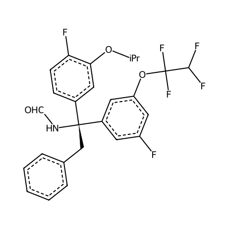 CC(C)Oc1cc([C@@](Cc2ccccc2)(NC=O)c2cc(F)cc(OC(F)(F)C(F)F)c2)ccc1F